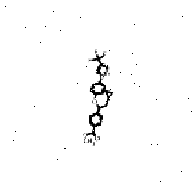 COC(=O)c1ccc(C(CC2CC2)Oc2ccc(-n3cc(C(F)(F)F)cn3)cc2)cc1